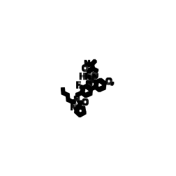 CCCCC1=NC2(CCCC2)C(=O)N1Cc1ccc(-c2ccc(OC)cc2S(=O)(=O)Nc2onc(C)c2C)cc1F